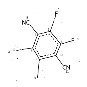 Cc1c(F)c(C#N)c(F)c(F)c1C#N